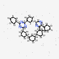 c1ccc(-c2nc(-c3ccccc3)nc(-c3cccc(-c4cccc(-c5ccc6c7ccccc7c7nccnc7c6c5)c4)c3)n2)cc1